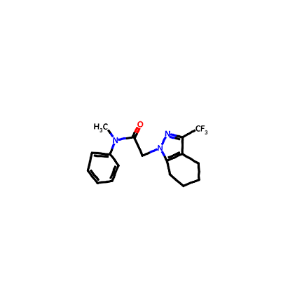 CN(C(=O)Cn1nc(C(F)(F)F)c2c1CCCC2)c1ccccc1